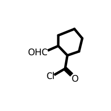 O=CC1CCCCC1C(=O)Cl